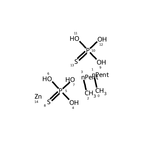 CCCCCC.CCCCCC.OP(O)(O)=S.OP(O)(O)=S.[Zn]